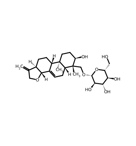 C=C1CO[C@H]2C3=CC[C@@H]4[C@](C)(CC[C@@H](O)[C@]4(C)CO[C@@H]4O[C@H](CO)[C@@H](O)[C@H](O)[C@H]4O)[C@H]3CC[C@H]12